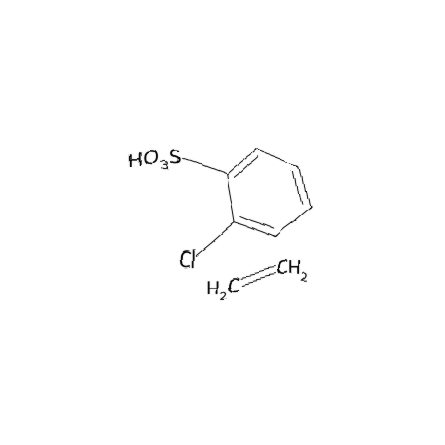 C=C.O=S(=O)(O)c1ccccc1Cl